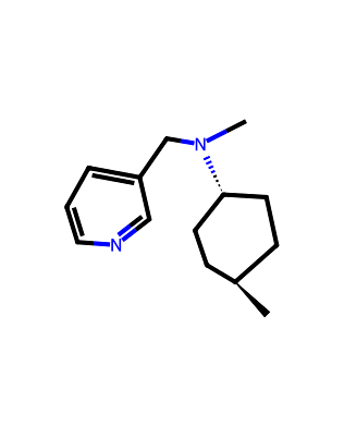 CN(Cc1cccnc1)[C@H]1CC[C@H](C)CC1